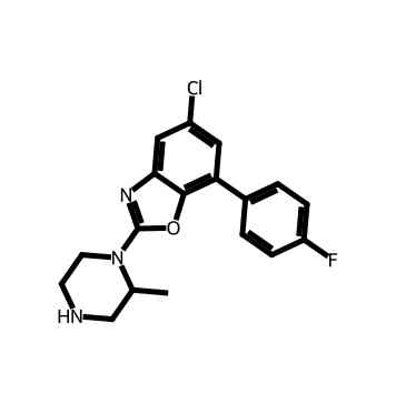 CC1CNCCN1c1nc2cc(Cl)cc(-c3ccc(F)cc3)c2o1